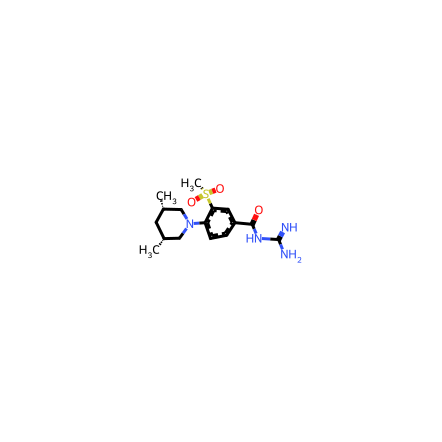 C[C@@H]1C[C@H](C)CN(c2ccc(C(=O)NC(=N)N)cc2S(C)(=O)=O)C1